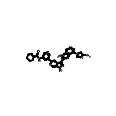 Cc1cn(-c2cncc3[nH]c(-c4n[nH]c5cnc(-c6cncc(NC(=O)C7CCCCC7)c6)cc45)nc23)cn1